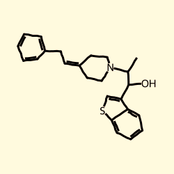 CC(C(O)c1csc2ccccc12)N1CCC(=CCc2ccccc2)CC1